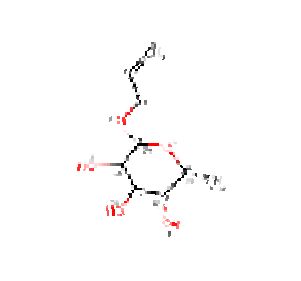 C=CCO[C@@H]1O[C@H](C)[C@H](O)C(O)C1O